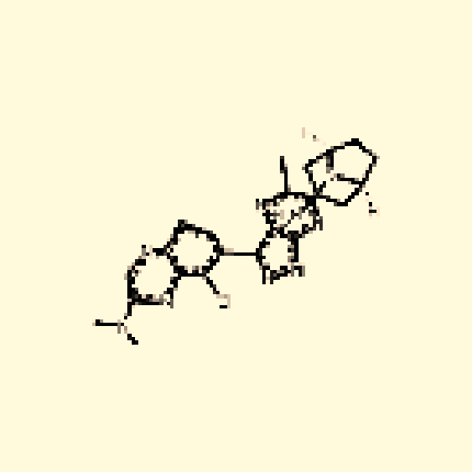 Cc1nc2c(-c3ccc4ncc(N(C)C)nc4c3Cl)n[nH]c2nc1N1[C@@H]2CC[C@H]1C[C@@H](N)C2